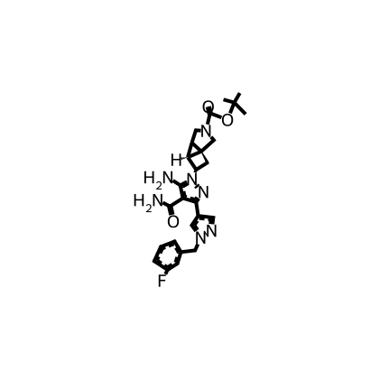 CC(C)(C)OC(=O)N1CC2[C@@H]3[C@H](n4nc(-c5cnn(Cc6cccc(F)c6)c5)c(C(N)=O)c4N)C[C@]23C1